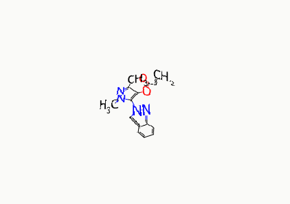 C=CC(=O)Oc1c(C)nn(C)c1-n1cc2ccccc2n1